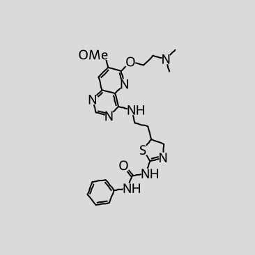 COc1cc2ncnc(NCCC3CN=C(NC(=O)Nc4ccccc4)S3)c2nc1OCCN(C)C